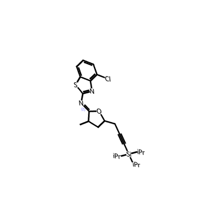 CC1CC(CC#C[Si](C(C)C)(C(C)C)C(C)C)O/C1=N\c1nc2c(Cl)cccc2s1